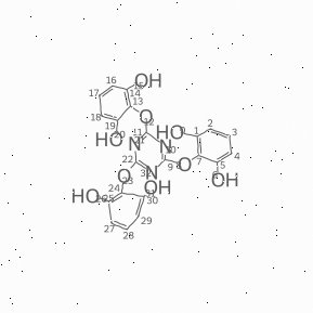 Oc1cccc(O)c1Oc1nc(Oc2c(O)cccc2O)nc(Oc2c(O)cccc2O)n1